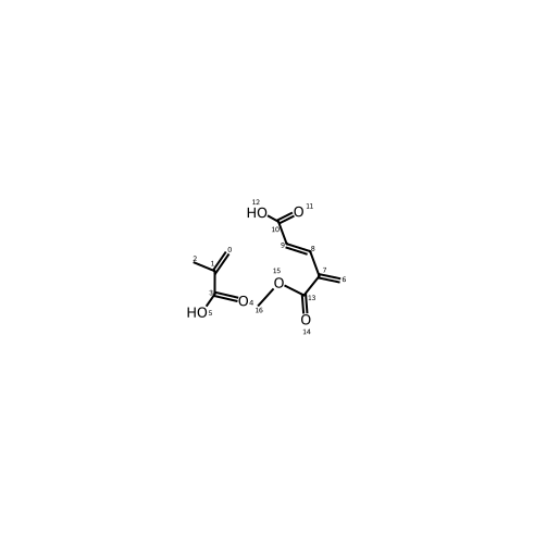 C=C(C)C(=O)O.C=C(C=CC(=O)O)C(=O)OC